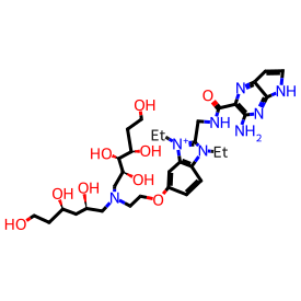 CCn1c(CNC(=O)c2nc3cc[nH]c3nc2N)[n+](CC)c2cc(OCCN(C[C@H](O)C[C@H](O)CCO)C[C@H](O)[C@@H](O)[C@H](O)CCO)ccc21